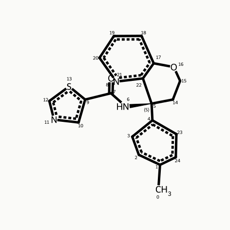 Cc1ccc([C@@]2(NC(=O)c3cncs3)CCOc3cccnc32)cc1